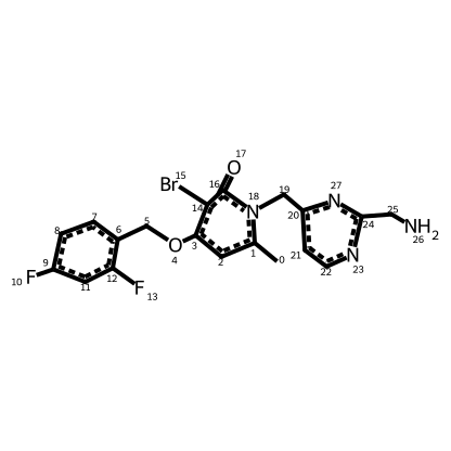 Cc1cc(OCc2ccc(F)cc2F)c(Br)c(=O)n1Cc1ccnc(CN)n1